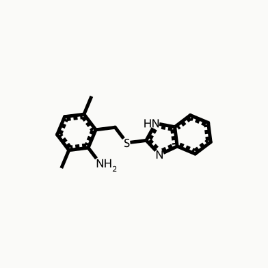 Cc1ccc(C)c(CSc2nc3ccccc3[nH]2)c1N